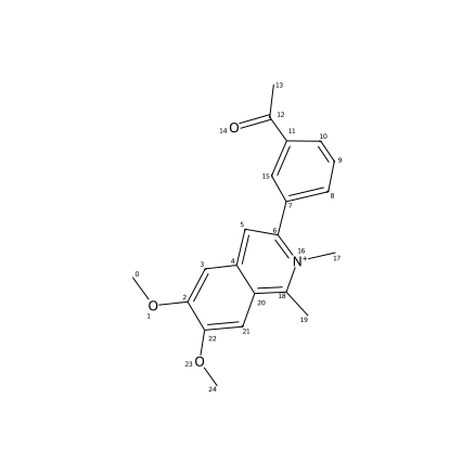 COc1cc2cc(-c3cccc(C(C)=O)c3)[n+](C)c(C)c2cc1OC